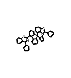 c1ccc(-c2nc(-c3cccc4c3-c3ccccc3C43c4ccccc4-n4c(-c5ccccc5)nc5cccc3c54)nc3ccccc23)cc1